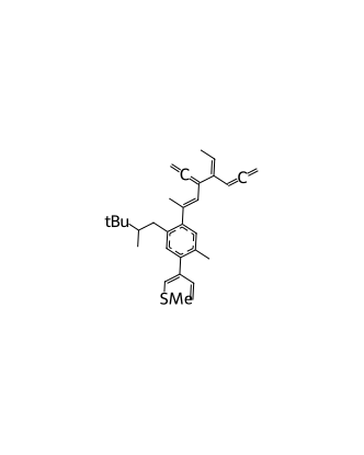 C=C=C/C(=C/C)C(=C=C)/C=C(\C)c1cc(C)c(/C(C=C)=C/SC)cc1CC(C)C(C)(C)C